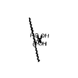 CCCCCCCCCCCCCCCCCC(=O)OCCCCCCCCCCCC.OCCN(CCO)CCO